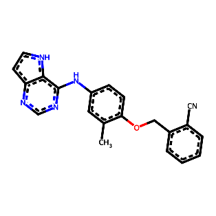 Cc1cc(Nc2ncnc3cc[nH]c23)ccc1OCc1ccccc1C#N